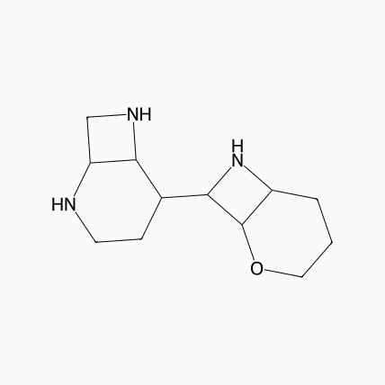 C1COC2C(C1)NC2C1CCNC2CNC21